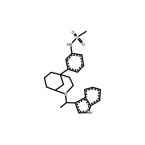 CC(c1c[nH]c2ccccc12)N1CCC2(c3cccc(NS(C)(=O)=O)c3)CCCC1C2